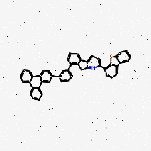 c1cc(-c2ccc3c4ccccc4c4ccccc4c3c2)cc(-c2cccc3c2Cc2nc(-c4cccc5c4sc4ccccc45)ccc2-3)c1